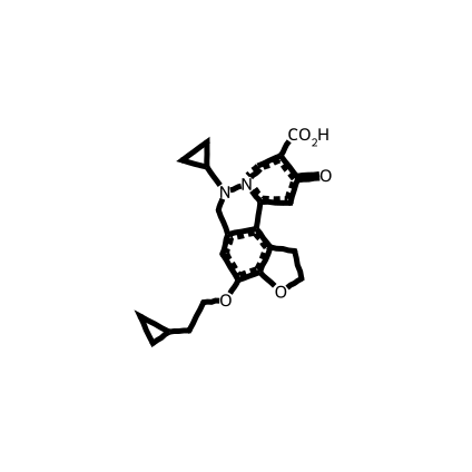 O=C(O)c1cn2c(cc1=O)-c1c(cc(OCCC3CC3)c3c1CCO3)CN2C1CC1